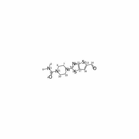 CN(C)C(=O)N1CCN(c2nc3sc(C=O)cc3s2)CC1